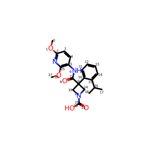 COc1ccc(NC(=O)C2(c3ccccc3C(C)C)CN(C(=O)O)C2)c(OC)n1